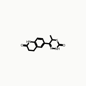 CC1SC(=O)NN=C1c1ccc2c(c1)CCC(=O)N2